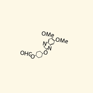 COc1cc2ncc(OC3CCC(OC=O)CC3)nc2cc1OC